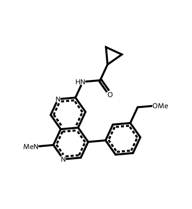 CNc1ncc(-c2cccc(COC)c2)c2cc(NC(=O)C3CC3)ncc12